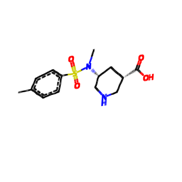 Cc1ccc(S(=O)(=O)N(C)[C@H]2CNC[C@@H](C(=O)O)C2)cc1